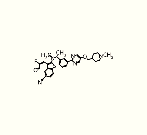 C[C@@H](c1cccc(-c2ncc(OCC3CCN(C)CC3)cn2)c1)N(C)c1sc2ccc(C#N)cc2c1/C=C(/F)C=O